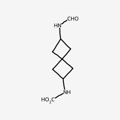 O=CNC1CC2(C1)CC(NC(=O)O)C2